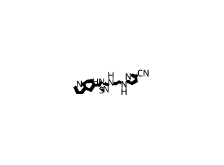 N#Cc1ccc(NCCNC2=NSC(c3ccc4ncccc4c3)N2)nc1